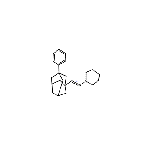 C(=N\N1CCCCC1)/C12CC3CC(C1)CC(c1ccccc1)(C3)C2